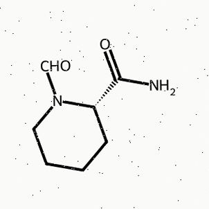 NC(=O)[C@@H]1CCCCN1C=O